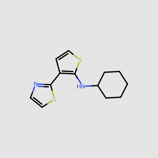 c1csc(-c2ccsc2NC2CCCCC2)n1